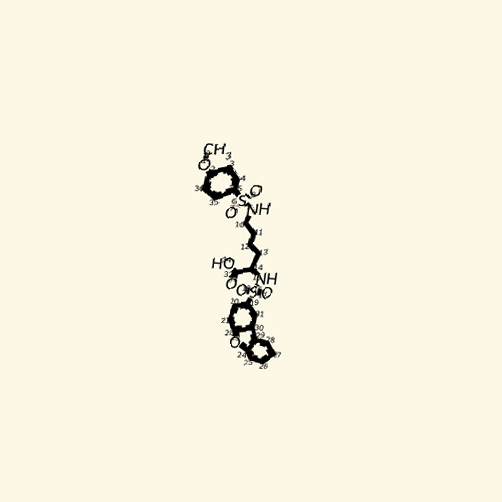 COc1ccc(S(=O)(=O)NCCCCC(NS(=O)(=O)c2ccc3oc4ccccc4c3c2)C(=O)O)cc1